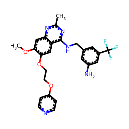 COc1cc2nc(C)nc(NCc3cc(N)cc(C(F)(F)F)c3)c2cc1OCCOc1ccncc1